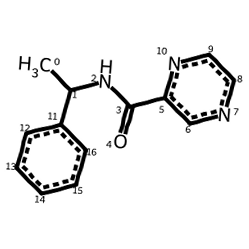 CC(NC(=O)c1cnccn1)c1ccccc1